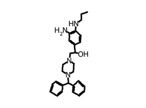 CCCNc1ccc(C(O)CN2CCN(C(c3ccccc3)c3ccccc3)CC2)cc1N